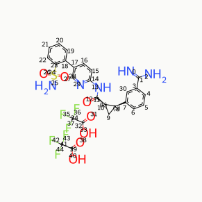 N=C(N)c1cccc([C@H]2C[C@H]2C(=O)Nc2ccc(-c3ccccc3S(N)(=O)=O)cn2)c1.O=C(O)C(F)(F)F.O=C(O)C(F)(F)F